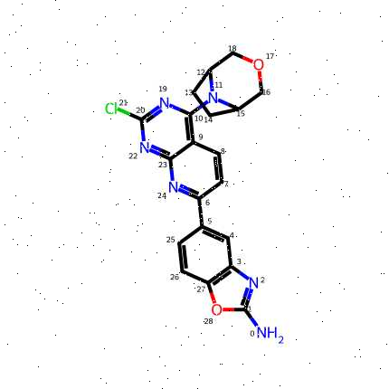 Nc1nc2cc(-c3ccc4c(N5C6CCC5COC6)nc(Cl)nc4n3)ccc2o1